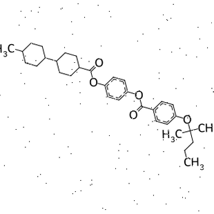 CCCC(C)(C)Oc1ccc(C(=O)Oc2ccc(OC(=O)C3CCC(C4CCC(C)CC4)CC3)cc2)cc1